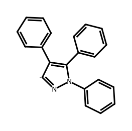 [c]1nn(-c2ccccc2)c(-c2ccccc2)c1-c1ccccc1